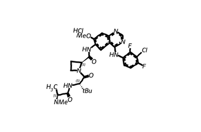 CN[C@@H](C)C(=O)N[C@H](C(=O)N1CC[C@H]1C(=O)Nc1cc2c(Nc3ccc(F)c(Cl)c3F)ncnc2cc1OC)C(C)(C)C.Cl